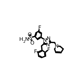 NS(=O)(=O)c1cc(F)cc(-n2nc(CN3CC=CCC3)nc2Cc2c(F)cccc2F)c1